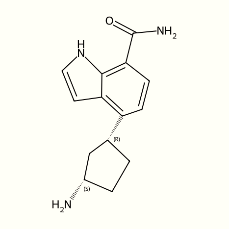 NC(=O)c1ccc([C@@H]2CC[C@H](N)C2)c2cc[nH]c12